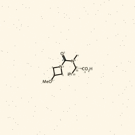 COC1CN(C(=O)N(C)[C@H](C(=O)O)C(C)C)C1